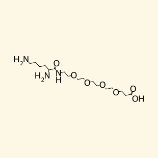 NCCCCC(N)C(=O)NCCOCCOCCOCCOCCC(=O)O